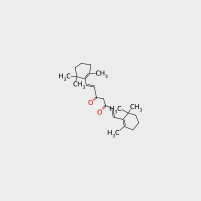 CC1=C(/C=C/C(=O)CC(=O)/C=C/C2=C(C)CCCC2(C)C)C(C)(C)CCC1